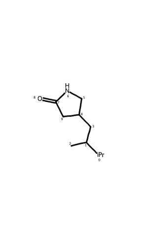 CC(C)C(C)CC1CNC(=O)C1